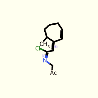 CC(=O)C/N=C(Cl)\C=C1\C=CCCCC1C